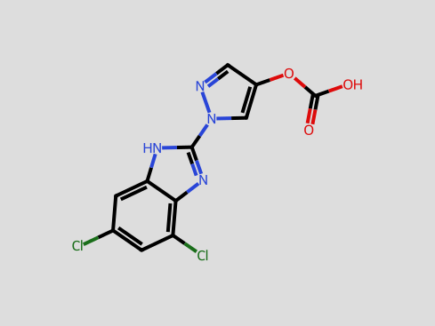 O=C(O)Oc1cnn(-c2nc3c(Cl)cc(Cl)cc3[nH]2)c1